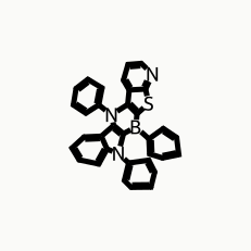 c1ccc(B2c3sc4ncccc4c3N(c3ccccc3)c3c2n(-c2ccccc2)c2ccccc32)cc1